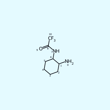 NC1CCCCC1NC(=O)C(F)(F)F